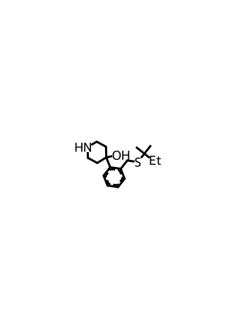 CCC(C)(C)SCc1ccccc1C1(O)CCNCC1